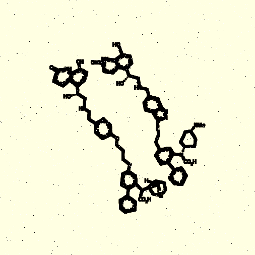 CN[C@H]1CC[C@H](N(C(=O)O)c2cc(CCCn3nnc4cc(CNC[C@H](O)c5ccc(O)c6[nH]c(=O)ccc56)ccc43)ccc2-c2ccccc2)CC1.O=C(O)N(c1cc(CCCCOc2ccc(CCNC[C@H](O)c3ccc(O)c4[nH]c(=O)ccc34)cc2)ccc1-c1ccccc1)[C@H]1CN2CCC1CC2